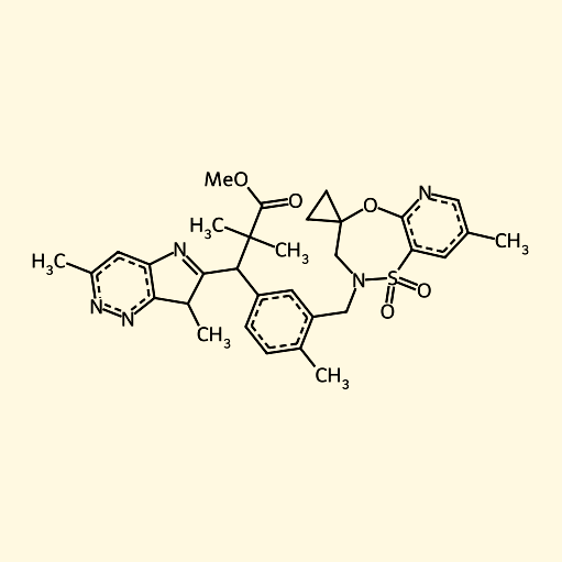 COC(=O)C(C)(C)C(C1=Nc2cc(C)nnc2C1C)c1ccc(C)c(CN2CC3(CC3)Oc3ncc(C)cc3S2(=O)=O)c1